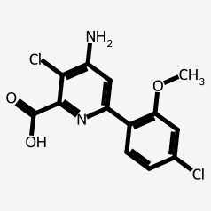 COc1cc(Cl)ccc1-c1cc(N)c(Cl)c(C(=O)O)n1